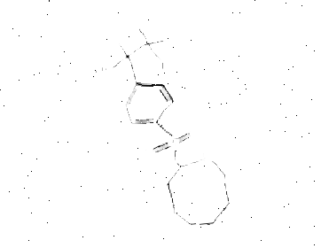 CC(O)(c1ccc(S(=O)(=O)C2CCCCCCN2)cc1)C(F)(F)F